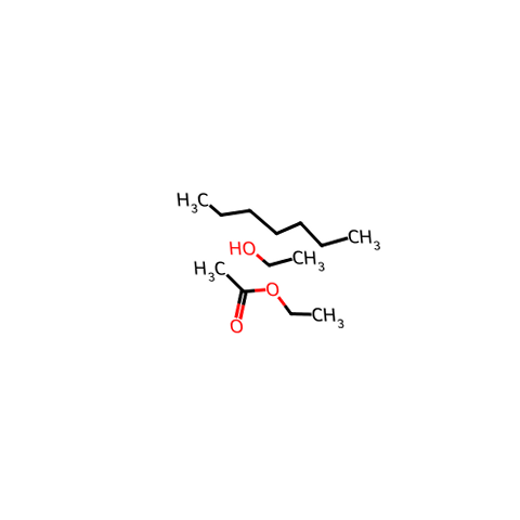 CCCCCCC.CCO.CCOC(C)=O